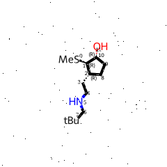 CS[C@@H]1[C@@H](CCNCC(C)(C)C)CC[C@H]1O